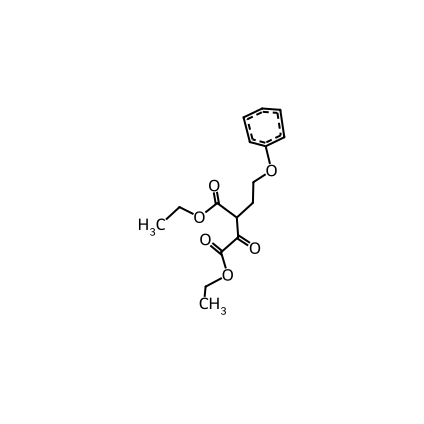 CCOC(=O)C(=O)C(CCOc1ccccc1)C(=O)OCC